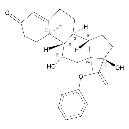 C=C(Oc1ccccc1)[C@@]1(O)CC[C@H]2[C@@H]3CCC4=CC(=O)CC[C@]4(C)[C@H]3[C@@H](O)C[C@@]21C